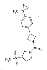 NS(=O)(=O)C1CCN(C(=O)N2CC(c3ccc(C4(C(F)(F)F)CC4)cc3)C2)C1